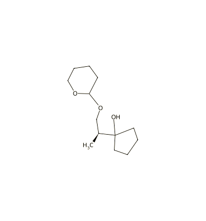 C[C@@H](COC1CCCCO1)C1(O)CCCC1